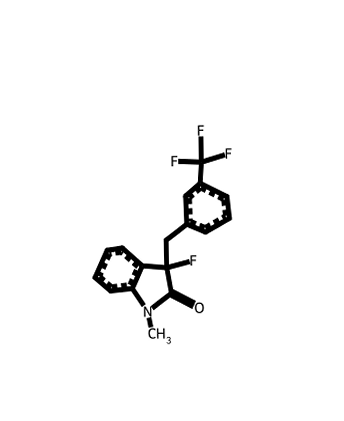 CN1C(=O)C(F)(Cc2cccc(C(F)(F)F)c2)c2ccccc21